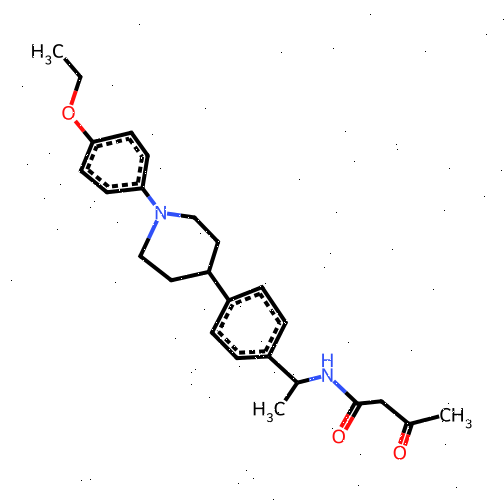 CCOc1ccc(N2CCC(c3ccc(C(C)NC(=O)CC(C)=O)cc3)CC2)cc1